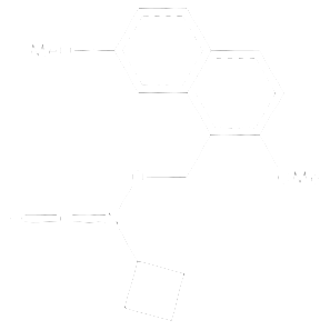 COc1ccc2ccc(OC)c(CO[N+](=C=O)C3CCC3)c2c1